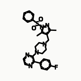 Cc1nn(S(=O)(=O)c2ccccc2)c(C)c1CN1CCN(c2nccnc2-c2ccc(F)cc2)CC1